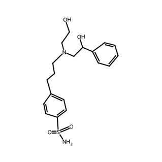 NS(=O)(=O)c1ccc(CCCN(CCO)CC(O)c2ccccc2)cc1